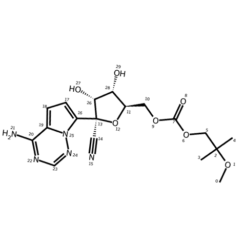 COC(C)(C)COC(=O)OC[C@H]1O[C@@](C#N)(c2ccc3c(N)ncnn23)[C@H](O)[C@@H]1O